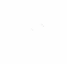 Cc1ccc2c(c1)c1c3n2CCN(C(C)C)C3CCC1